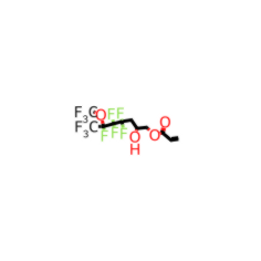 C=CC(=O)OCC(O)CC(F)(F)C(F)(F)C(F)(OC(F)(F)F)C(F)(F)F